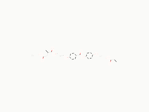 C=CC(=O)OCCCOc1ccc(OC(=O)c2ccc(OCCCOC(=O)C(=C)CC(=O)OCCC)cc2)cc1